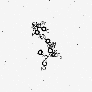 Cc1c(S(C)(=O)=O)c(-c2cc(F)cc(N3CCN(c4ccc(NS(=O)(=O)c5ccc(N[C@H](CCN6CCC(OI)CC6)CSc6ccccc6)c(S(=O)(=O)C(F)(F)F)c5)cc4)CC3)c2)c(-c2ccc(Cl)cc2)n1C(C)C